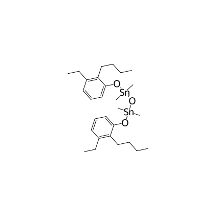 CCCCc1c(CC)cccc1[O][Sn]([CH3])([CH3])[O][Sn]([CH3])([CH3])[O]c1cccc(CC)c1CCCC